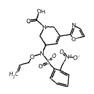 C=CCON(C1C=C(c2ncco2)CN(C(=O)O)C1)S(=O)(=O)c1ccccc1[N+](=O)[O-]